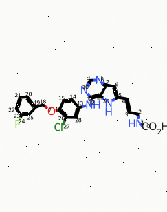 O=C(O)NC/C=C/c1cc2ncnc(Nc3ccc(OCc4cccc(F)c4)c(Cl)c3)c2[nH]1